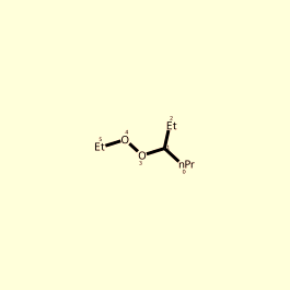 CCCC(CC)OOCC